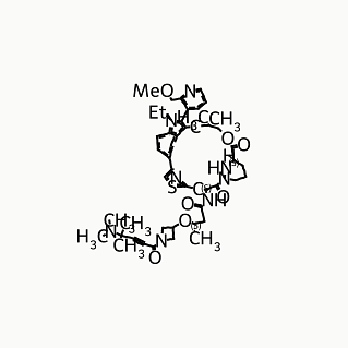 CCn1c(-c2cccnc2COC)c2c3cc(ccc31)-c1csc(n1)C[C@H](NC(=O)C[C@H](C)OC1CN(C(=O)C#CC(C)(C)N(C)C)C1)C(=O)N1CCC[C@H](N1)C(=O)OCC(C)(C)C2